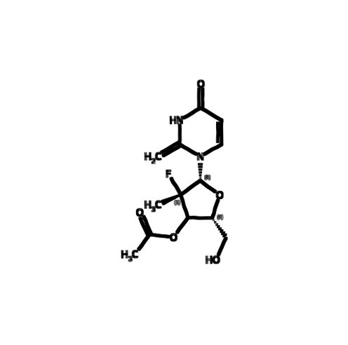 C=C1NC(=O)C=CN1[C@@H]1O[C@H](CO)C(OC(C)=O)[C@]1(C)F